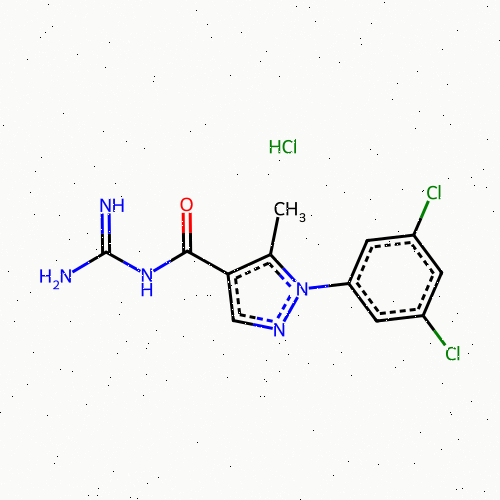 Cc1c(C(=O)NC(=N)N)cnn1-c1cc(Cl)cc(Cl)c1.Cl